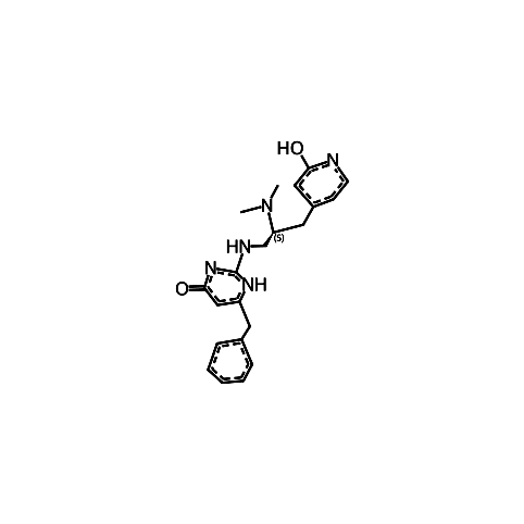 CN(C)[C@H](CNc1nc(=O)cc(Cc2ccccc2)[nH]1)Cc1ccnc(O)c1